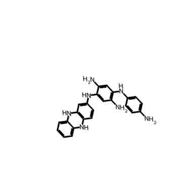 Nc1ccc(Nc2cc(N)c(Nc3ccc4c(c3)Nc3ccccc3N4)cc2N)cc1